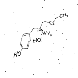 CCOC[C@@H](N)Cc1ccc(O)cc1.Cl